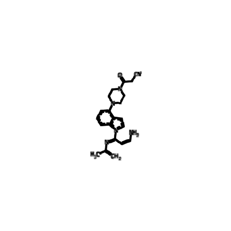 C=C(C)/N=C(\C=C/N)n1ccc2c(N3CCN(C(=O)CC#N)CC3)cccc21